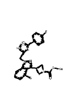 CC(C)(C)OC(=O)N1CC(c2nn(Cc3noc(-c4ccc(F)cc4)n3)c3cccc(F)c23)C1